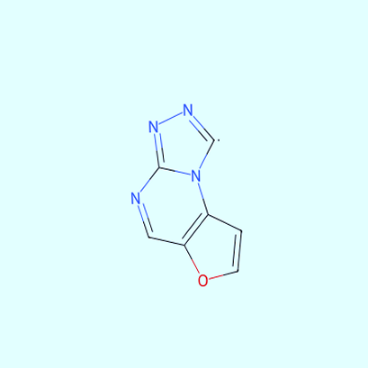 [c]1nnc2ncc3occc3n12